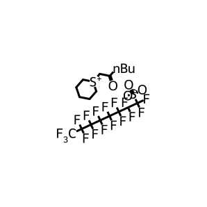 CCCCC(=O)C[S+]1CCCCC1.O=S(=O)([O-])C(F)(F)C(F)(F)C(F)(F)C(F)(F)C(F)(F)C(F)(F)C(F)(F)C(F)(F)F